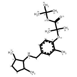 Cc1cc(CNC2C(C)CCC2C)ccc1OC(C)(C)C(=O)OC(C)(C)C